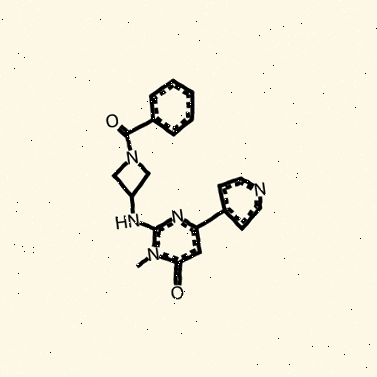 Cn1c(NC2CN(C(=O)c3ccccc3)C2)nc(-c2ccncc2)cc1=O